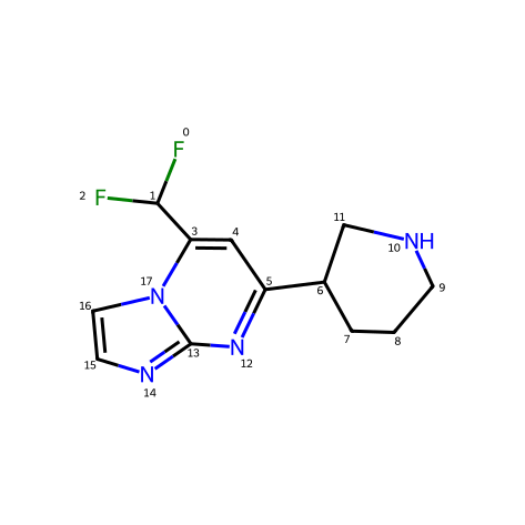 FC(F)c1cc(C2CCCNC2)nc2nccn12